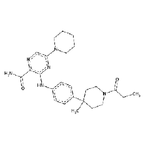 CCC(=O)N1CCC(C)(c2ccc(Nc3nc(N4CCCCC4)cnc3C(N)=O)cc2)CC1